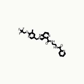 Cc1cc(Cn2cc3c(C(=O)NCCNC(=O)c4ccccn4)nccc3n2)cnc1OCC(F)(F)F